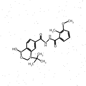 COc1cccc(C(=O)NNC(=O)c2ccc3c(c2)N(C(C)(C)C)COB3O)c1C